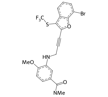 CNC(=O)c1ccc(OC)c(NCC#Cc2oc3c(Br)cccc3c2SC(F)(F)F)c1